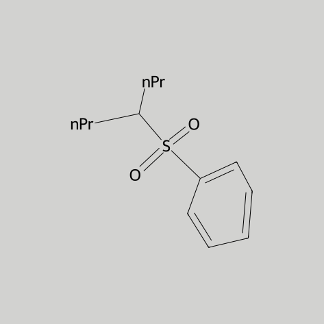 CCCC(CCC)S(=O)(=O)c1ccccc1